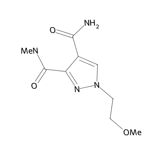 CNC(=O)c1nn(CCOC)cc1C(N)=O